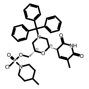 CC1=CC([C@H]2CN(C(c3ccccc3)(c3ccccc3)c3ccccc3)C[C@@H](COP(=O)(Cl)N3CCC(C)CC3)O2)C(=O)NC1=O